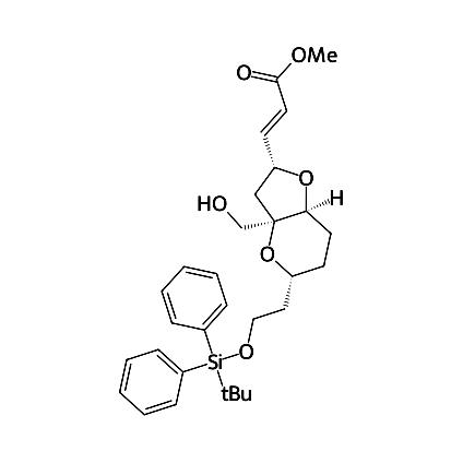 COC(=O)/C=C/[C@H]1C[C@]2(CO)O[C@@H](CCO[Si](c3ccccc3)(c3ccccc3)C(C)(C)C)CC[C@@H]2O1